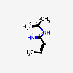 C=C(C)NC(=N)/C=C\C